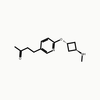 CN[C@H]1C[C@H](Oc2ccc(CCC(C)=O)cn2)C1